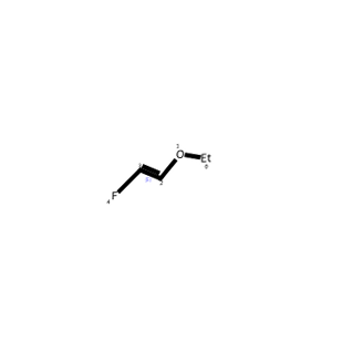 CCO/C=C/F